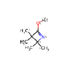 CCOC1=NC(C)(C)C1(C)C